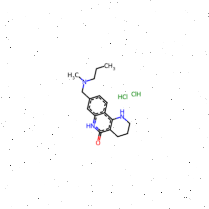 CCCN(C)Cc1ccc2c3c(c(=O)[nH]c2c1)CCCN3.Cl.Cl